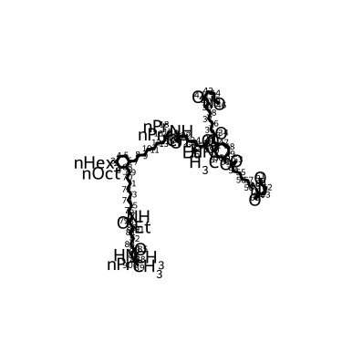 CCCCCCCCC1C(CCCCCC)CCC(CCCCCCCC(C)(CCC)C(CCC)NC(=O)CC/C=C(\CC)C(=O)NC2=C(OC(=O)CCCCCN3C(=O)C=CC3=O)C=CCC(OC(=O)CCCCCN3C(=O)C=CC3=O)[C@@H]2C)C1CCCCCCCCNC(=O)/C(=C/CCC(=O)NC(C)(C)CCC)CC